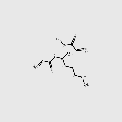 C=CC(=O)OC.C=CC(=O)OC(C)OCCOC